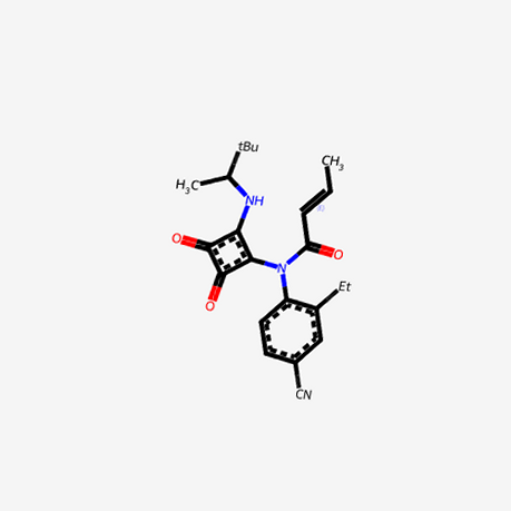 C/C=C/C(=O)N(c1ccc(C#N)cc1CC)c1c(NC(C)C(C)(C)C)c(=O)c1=O